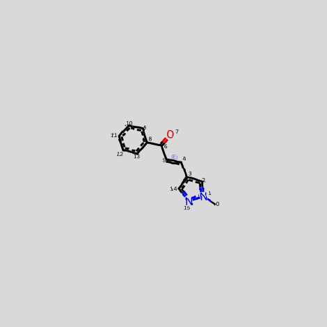 Cn1cc(/C=C/C(=O)c2c[c]ccc2)cn1